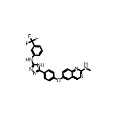 CNc1ncc2cc(Oc3ccc(-c4nnc(Nc5cccc(C(F)(F)F)c5)[nH]4)cc3)ccc2n1